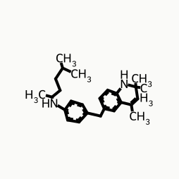 CC1=CC(C)(C)Nc2ccc(Cc3ccc(NC(C)CCC(C)C)cc3)cc21